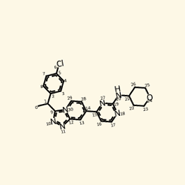 CC(c1ccc(Cl)cc1)c1nnc2cc(-c3ccnc(NC4CCOCC4)n3)ccn12